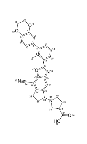 Cc1c(-c2ccc3c(c2)OCCO3)cccc1-c1nc2cc3c(c(C#N)c2o1)CCC3N1CCC(C(=O)O)C1